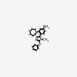 Cn1c(Sc2ccccc2)nnc1-c1ccc(N)cc1N1CCCCCC1